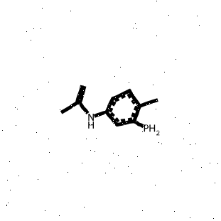 C=C(C)Nc1ccc(C)c(P)c1